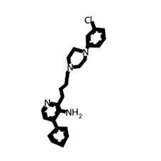 Nc1c(-c2ccccc2)ccnc1CCCCN1CCN(c2cccc(Cl)c2)CC1